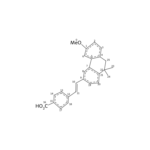 COc1ccc2c(c1)-c1cc(/C=C/c3ccc(C(=O)O)cc3)ccc1C(C)(C)C2